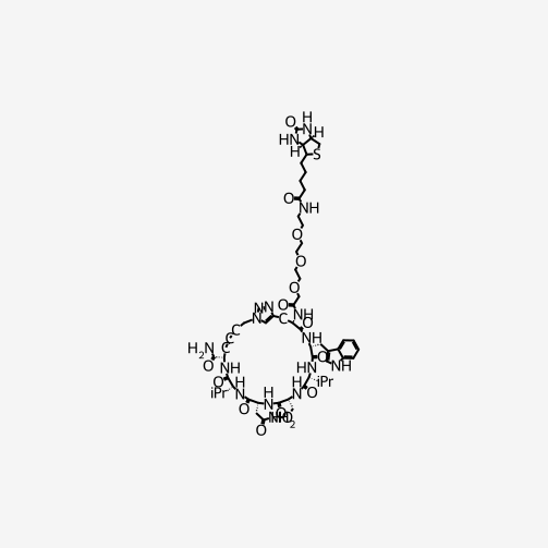 CC(C)[C@H]1NC(=O)[C@@H](CC(N)=O)NC(=O)[C@@H](CO)NC(=O)[C@@H](C(C)C)NC(=O)[C@@H](Cc2c[nH]c3ccccc23)NC(=O)[C@@H](NC(=O)COCCOCCOCCNC(=O)CCCCC2SC[C@H]3NC(=O)N[C@@H]23)Cc2cn(nn2)CCCC[C@@H](C(N)=O)NC1=O